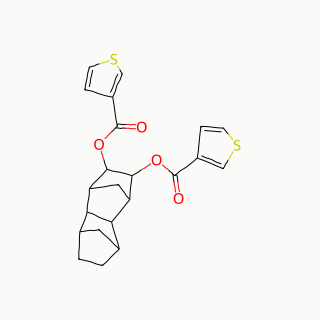 O=C(OC1C2CC(C1OC(=O)c1ccsc1)C1C3CCC(C3)C21)c1ccsc1